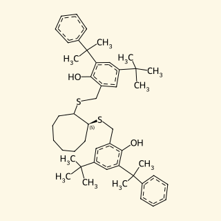 CC(C)(C)c1cc(CSC2CCCCCC[C@@H]2SCc2cc(C(C)(C)C)cc(C(C)(C)c3ccccc3)c2O)c(O)c(C(C)(C)c2ccccc2)c1